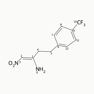 NC(=C[N+](=O)[O-])CCc1ccc(C(F)(F)F)cc1